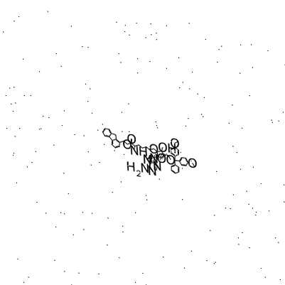 COc1ccc(C(OC[C@H]2O[C@@H](n3cnc4c(N)ncnc43)C(OCCCCC(N)C(=O)OCc3cccc4c3Cc3ccccc3-4)C2O)(c2ccccc2)c2ccc(OC)cc2)cc1